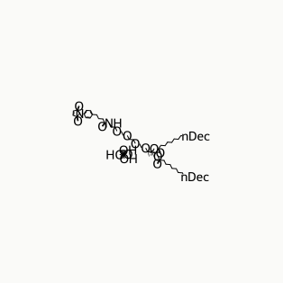 CCCCCCCCCCCCCCCCCC(=O)OC[C@H](COCCOCCOCCOCCNC(=O)CCCc1ccc(N2C(=O)C=CC2=O)cc1)OC(=O)CCCCCCCCCCCCCCCCC.O=P(O)(O)O